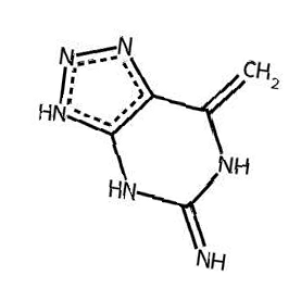 C=C1NC(=N)Nc2[nH]nnc21